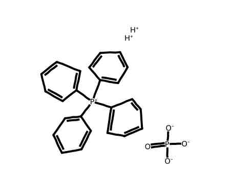 O=P([O-])([O-])[O-].[H+].[H+].c1ccc([P+](c2ccccc2)(c2ccccc2)c2ccccc2)cc1